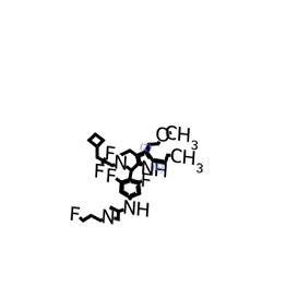 CC/C=c1/[nH]c2c(/c1=C/COC)CCN(CC(F)(F)CC1CCC1)C2c1c(F)cc(NC2CN(CCCF)C2)cc1F